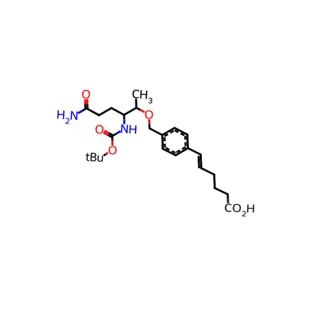 CC(OCc1ccc(/C=C/CCCC(=O)O)cc1)C(CCC(N)=O)NC(=O)OC(C)(C)C